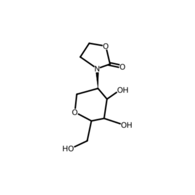 O=C1OCCN1[C@@H]1COC(CO)C(O)C1O